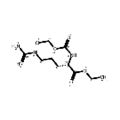 CCOC(=O)[C@H](CCCNC(=N)N)NC(=O)OCCl